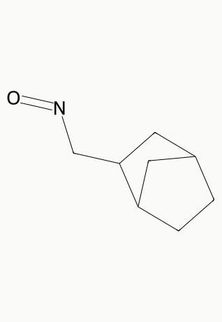 O=NCC1CC2CCC1C2